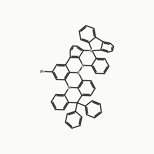 CC(C)c1cc2c3c(c1)N1c4ccccc4C(c4ccccc4)(c4ccccc4)c4cccc(c41)B3N1c3ccccc3[Si]3(c4ccccc4-c4ccccc43)c3cccc-2c31